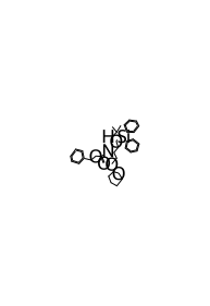 CC(C)(C)[Si](OCC(COC1CCCCO1)NC(=O)OCc1ccccc1)(c1ccccc1)c1ccccc1